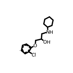 OC(CNC1CCCCC1)COc1cc[c]cc1Cl